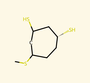 CSC1CC[C@@H](S)CC(S)C1